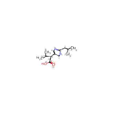 CC(C)Cc1ncc([C@@H](C(=O)O)C(C)C)cn1